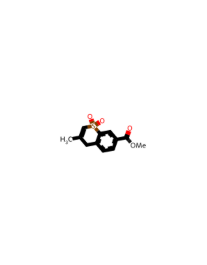 COC(=O)c1ccc2c(c1)S(=O)(=O)C=C(C)C2